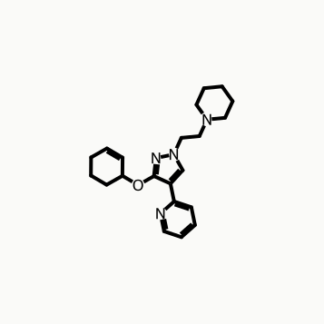 C1=CC(Oc2nn(CCN3CCCCC3)cc2-c2ccccn2)CCC1